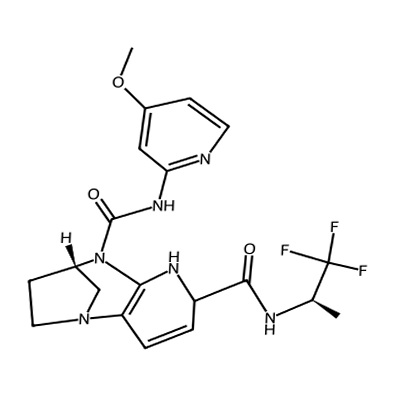 COc1ccnc(NC(=O)N2C3=C(C=CC(C(=O)N[C@H](C)C(F)(F)F)N3)N3CC[C@H]2C3)c1